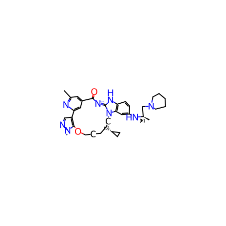 Cc1cc2cc(n1)-c1cnn(C)c1OCCC[C@@H](C1CC1)CN1/C(=N/C2=O)Nc2ccc(N[C@H](C)CN3CCCCC3)cc21